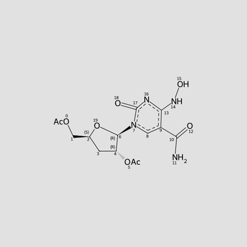 CC(=O)OC[C@@H]1C[C@@H](OC(C)=O)[C@H](n2cc(C(N)=O)c(NO)nc2=O)O1